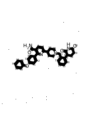 NC(=O)c1ccc(C2CCN(Cc3ccccc3C3CCC(=O)NC3=O)CC2)nc1-c1ccc(Oc2ccccc2)cc1